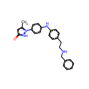 Cc1cc(=O)[nH]n1-c1ccc(Nc2ccc(CCNCc3ccccc3)cc2)cc1